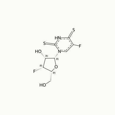 OC[C@H]1O[C@@H](n2cc(F)c(=S)[nH]c2=S)[C@@H](O)[C@H]1F